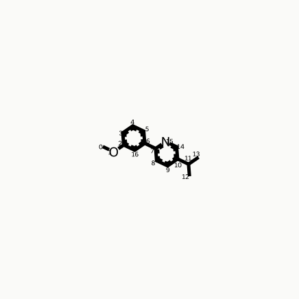 COc1cccc(-c2ccc(C(C)C)cn2)c1